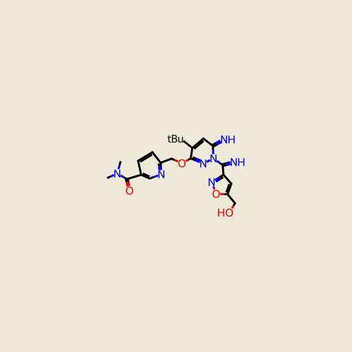 CN(C)C(=O)c1ccc(COc2nn(C(=N)c3cc(CO)on3)c(=N)cc2C(C)(C)C)nc1